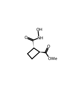 COC(=O)[C@H]1CC[C@@H]1C(=O)NO